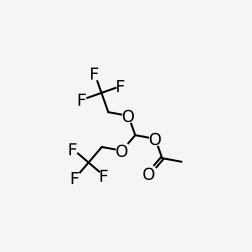 CC(=O)OC(OCC(F)(F)F)OCC(F)(F)F